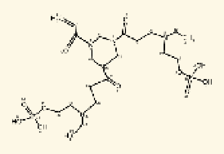 C=CC(=O)N1CN(C(=O)CCN(CC)CCOP(=O)(O)O)CN(C(=O)CCN(CC)CCOP(=O)(O)O)C1